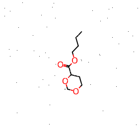 CCCCOC(=O)C1CCO[CH]O1